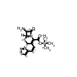 C[Si](C)(C)OC(=O)C1=C(/C=C\c2csnn2)CS[C@@H]2C(N)C(=O)N12